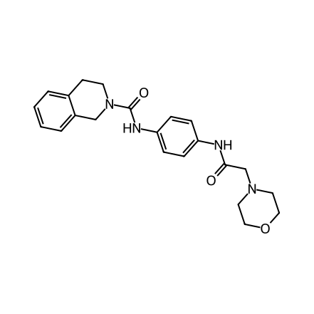 O=C(CN1CCOCC1)Nc1ccc(NC(=O)N2CCc3ccccc3C2)cc1